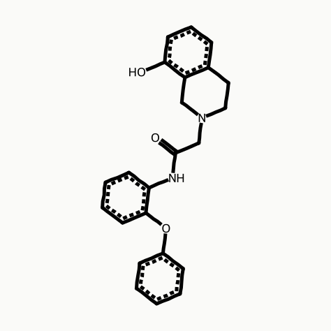 O=C(CN1CCc2cccc(O)c2C1)Nc1ccccc1Oc1ccccc1